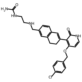 NC(=O)NCCNCc1ccc2c(c1)CCC(c1c(OCc3ccc(Cl)cc3)cc[nH]c1=O)=C2